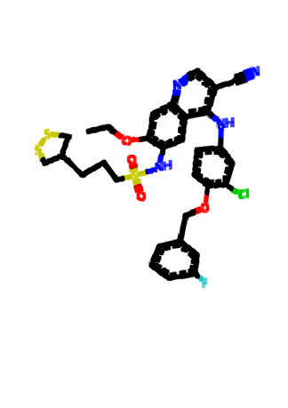 CCOc1cc2ncc(C#N)c(Nc3ccc(OCc4cccc(F)c4)c(Cl)c3)c2cc1NS(=O)(=O)CCCC1CSSC1